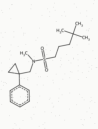 CN(CC1(c2ccccc2)CC1)S(=O)(=O)CCCC(C)(C)C